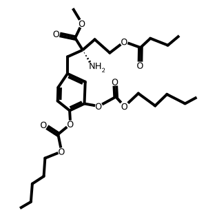 CCCCCOC(=O)Oc1ccc(C[C@](N)(CCOC(=O)CCC)C(=O)OC)cc1OC(=O)OCCCCC